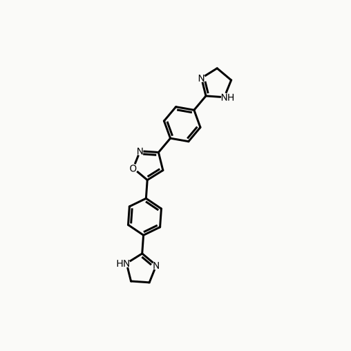 c1cc(-c2cc(-c3ccc(C4=NCCN4)cc3)on2)ccc1C1=NCCN1